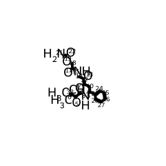 CC(C)(C)C(=O)C(=O)NC(CCC(=O)CNC(=O)COC(N)=O)c1ccccc1